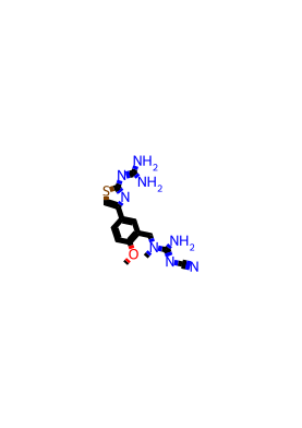 COc1ccc(-c2csc(N=C(N)N)n2)cc1CN(C)C(N)=NC#N